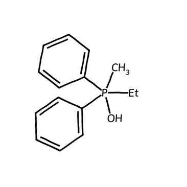 CCP(C)(O)(c1ccccc1)c1ccccc1